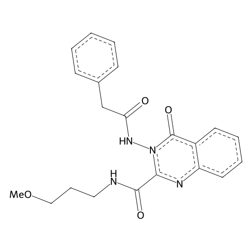 COCCCNC(=O)c1nc2ccccc2c(=O)n1NC(=O)Cc1ccccc1